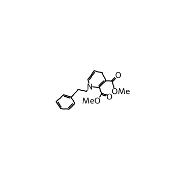 COC(=O)C1=C(C(=O)OC)N(CCc2ccccc2)C=CC1